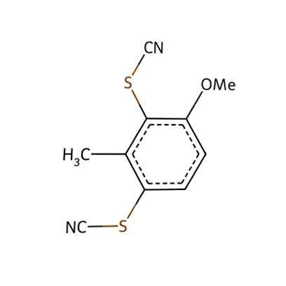 COc1ccc(SC#N)c(C)c1SC#N